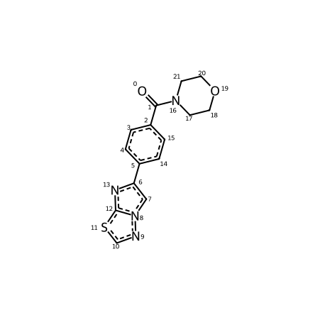 O=C(c1ccc(-c2cn3ncsc3n2)cc1)N1CCOCC1